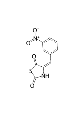 O=C1NC(=Cc2cccc([N+](=O)[O-])c2)C(=O)S1